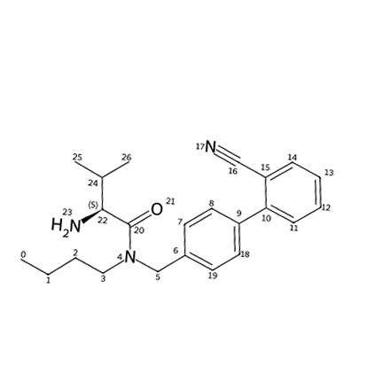 CCCCN(Cc1ccc(-c2ccccc2C#N)cc1)C(=O)[C@@H](N)C(C)C